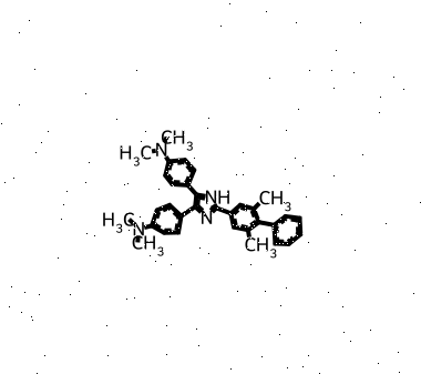 Cc1cc(-c2nc(-c3ccc(N(C)C)cc3)c(-c3ccc(N(C)C)cc3)[nH]2)cc(C)c1-c1ccccc1